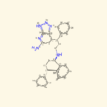 Nc1cc(C(CCN[C@@H]2CC[C@@H](c3ccccc3)c3ccccc32)c2ccccc2)c2nn[nH]c2n1